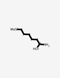 CSCCCCCC(N)O